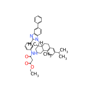 CCOC(=O)CC(=O)Nc1cccc(-c2nc3cc(-c4ccccc4)ccc3n2C[C@@]2(C)CCC[C@]3(C)c4ccc(C(C)C)cc4CC[C@@H]23)c1